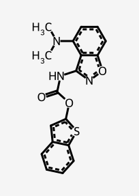 CN(C)c1cccc2onc(NC(=O)Oc3cc4ccccc4s3)c12